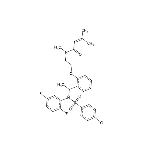 CC(C)=CC(=O)N(C)CCOc1ccccc1C(C)N(c1cc(F)ccc1F)S(=O)(=O)c1ccc(Cl)cc1